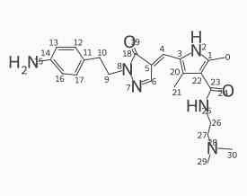 Cc1[nH]c(C=C2C=NN(CCc3ccc(N)cc3)C2=O)c(C)c1C(=O)NCCN(C)C